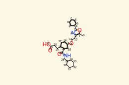 Cc1oc(-c2ccccc2)nc1CCOc1ccc(CCC(=O)O)c(C(=O)NCC2CCCCC2)c1